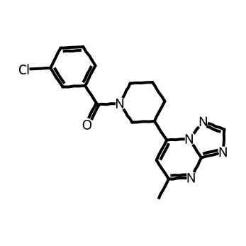 Cc1cc(C2CCCN(C(=O)c3cccc(Cl)c3)C2)n2ncnc2n1